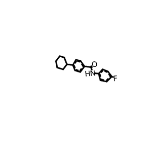 O=C(Nc1ccc(F)cc1)c1ccc(C2CCCCC2)cc1